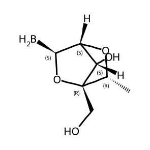 B[C@@H]1O[C@@]2(CO)[C@@H](C)O[C@@H]1[C@@H]2O